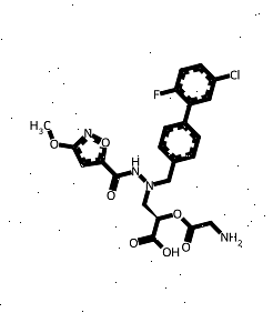 COc1cc(C(=O)NN(Cc2ccc(-c3cc(Cl)ccc3F)cc2)C[C@@H](OC(=O)CN)C(=O)O)on1